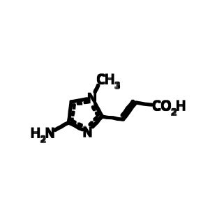 Cn1cc(N)nc1/C=C/C(=O)O